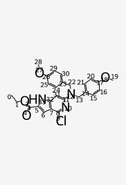 CCOC(=O)c1cc2c(Cl)nc(N(Cc3ccc(OC)cc3)Cc3ccc(OC)cc3)cc2[nH]1